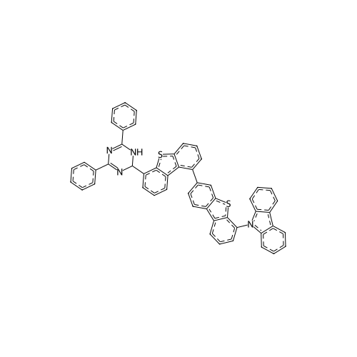 c1ccc(C2=NC(c3cccc4c3sc3cccc(-c5ccc6c(c5)sc5c(-n7c8ccccc8c8ccccc87)cccc56)c34)NC(c3ccccc3)=N2)cc1